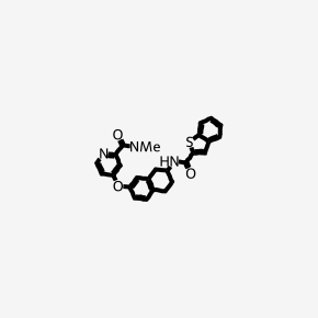 CNC(=O)c1cc(Oc2ccc3c(c2)CC(NC(=O)c2cc4ccccc4s2)CC3)ccn1